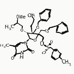 COC(C)CO[C@H]1[C@H](n2cc(C)c(=O)[nH]c2=O)O[C@@](COCc2ccccc2)(COS(=O)(=O)c2ccc(C)cc2)[C@@]1(CCO)OCc1ccccc1